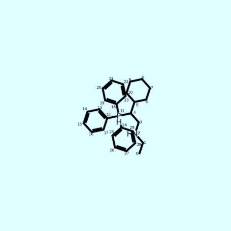 CCNCC(C1CCCCC1)[PH](c1ccccc1)(c1ccccc1)c1ccccc1